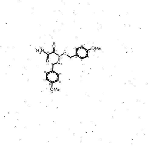 COc1ccc(CON(OCc2ccc(OC)cc2)C(=O)C(N)=O)cc1